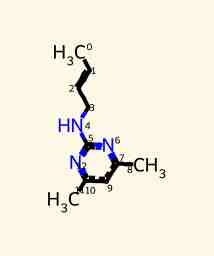 CC=CCNc1nc(C)cc(C)n1